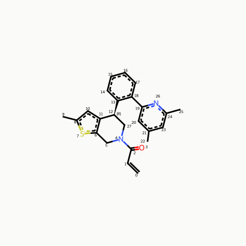 C=CC(=O)N1Cc2sc(C)cc2[C@@H](c2ccccc2-c2cc(C)cc(C)n2)C1